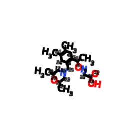 CC1=C(C)CC(C(C)O/N=C/C(=O)O)=C(CN2CC(C)OC(C)C2)C1